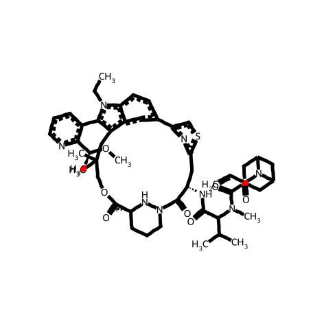 C=CC(=O)N1C2CC1CN(C(=O)N(C)C(C(=O)N[C@H]1Cc3nc(cs3)-c3ccc4c(c3)c(c(-c3cccnc3[C@H](C)OC)n4CC)CC(C)(C)COC(=O)[C@@H]3CCCN(N3)C1=O)C(C)C)C2